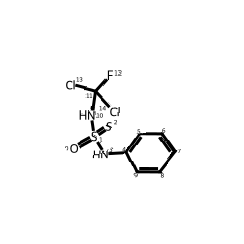 O=S(=S)(Nc1ccccc1)NC(F)(Cl)Cl